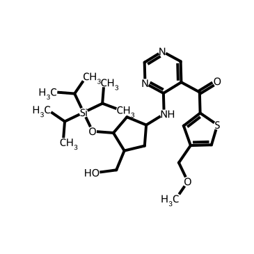 COCc1csc(C(=O)c2cncnc2NC2CC(CO)C(O[Si](C(C)C)(C(C)C)C(C)C)C2)c1